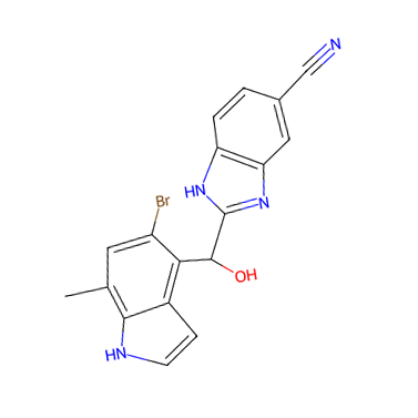 Cc1cc(Br)c(C(O)c2nc3cc(C#N)ccc3[nH]2)c2cc[nH]c12